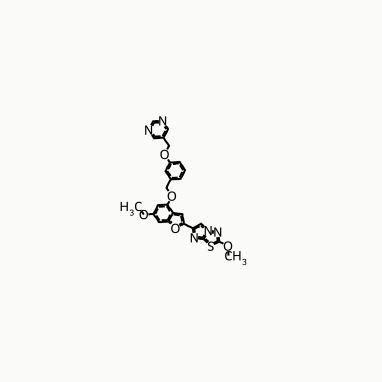 COc1cc(OCc2cccc(OCc3cncnc3)c2)c2cc(-c3cn4nc(OC)sc4n3)oc2c1